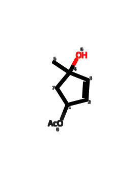 CC(=O)OC1C=CC(C)(O)C1